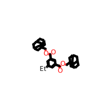 CCc1cc(C(=O)OCC23CC4CC(CC(C4)C2)C3)cc(C(=O)OCC23CC4CC(CC(C4)C2)C3)c1